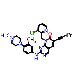 Cc1cc(Nc2ncc3cc(C#CC(C)C)c(=O)n(Cc4ncccc4Cl)c3n2)ccc1N1CCN(C)CC1